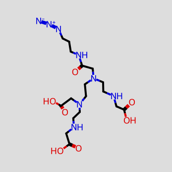 [N-]=[N+]=NCCCNC(=O)CN(CCNCC(=O)O)CCN(CCNCC(=O)O)CC(=O)O